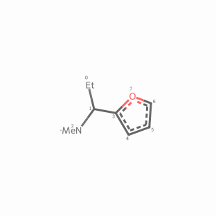 CCC([N]C)c1ccco1